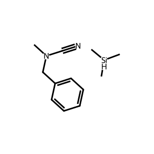 CN(C#N)Cc1ccccc1.C[SiH](C)C